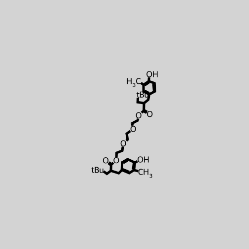 Cc1cc(CC(CC(C)(C)C)C(=O)OCCOCCOCCOC(=O)C(Cc2ccc(O)c(C)c2)CC(C)(C)C)ccc1O